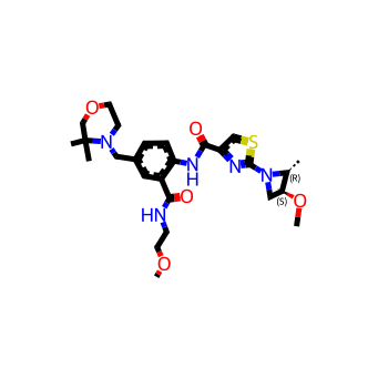 COCCNC(=O)c1cc(CN2CCOCC2(C)C)ccc1NC(=O)c1csc(N2C[C@H](OC)[C@H]2C)n1